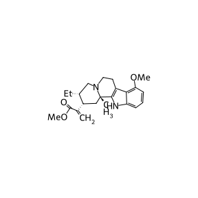 C=C(C(=O)OC)[C@H]1C[C@@]2(C)c3[nH]c4cccc(OC)c4c3CCN2C[C@H]1CC